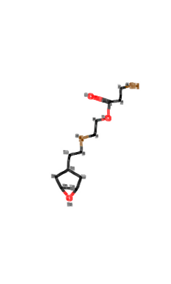 O=C(CCS)OCCSCCC1CC2OC2C1